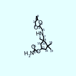 C=C1COC(CNCC2(C)CC(OC(N)=O)CC(C)(C)C2)O1